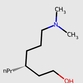 CCC[C@@H](CCO)CCCN(C)C